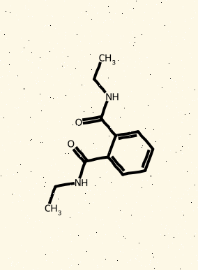 CCNC(=O)c1ccccc1C(=O)NCC